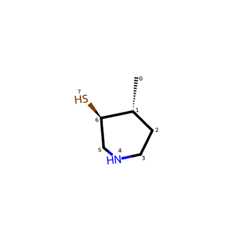 C[C@@H]1CCNC[C@H]1S